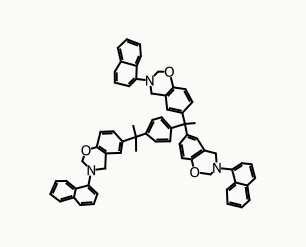 CC(C)(c1ccc(C(C)(c2ccc3c(c2)CN(c2cccc4ccccc24)CO3)c2ccc3c(c2)CN(c2cccc4ccccc24)CO3)cc1)c1ccc2c(c1)CN(c1cccc3ccccc13)CO2